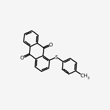 Cc1ccc(Sc2cccc3c2C(=O)c2ccccc2C3=O)cc1